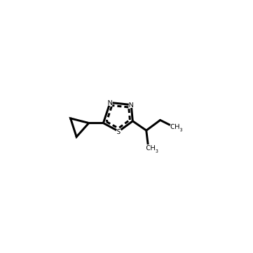 CCC(C)c1nnc(C2CC2)s1